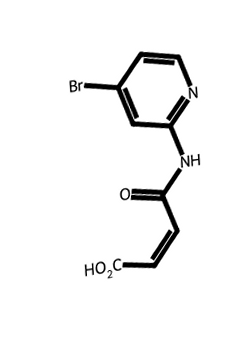 O=C(O)/C=C\C(=O)Nc1cc(Br)ccn1